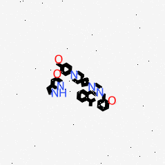 COc1ccccc1CN1CCN(C2CC3(CCN(c4ccc(C=O)c(Oc5cnc6[nH]ccc6c5)c4)CC3)C2)C(c2ccccc2C(C)C)C1